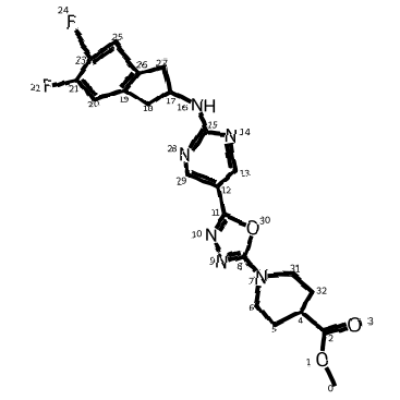 COC(=O)C1CCN(c2nnc(-c3cnc(NC4Cc5cc(F)c(F)cc5C4)nc3)o2)CC1